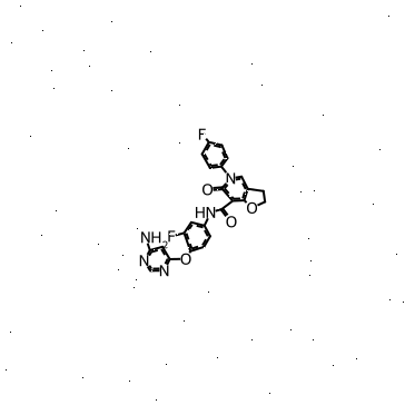 Nc1cc(Oc2ccc(NC(=O)c3c4c(cn(-c5ccc(F)cc5)c3=O)CCO4)cc2F)ncn1